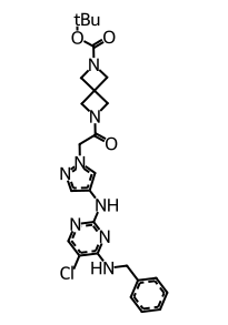 CC(C)(C)OC(=O)N1CC2(CN(C(=O)Cn3cc(Nc4ncc(Cl)c(NCc5ccccc5)n4)cn3)C2)C1